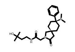 CN(C)[C@]1(c2ccccc2)CC[C@@]2(CC1)CC(=O)N(CC(=O)NCCC(C)(C)O)C2